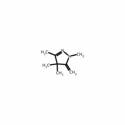 C=C1N(C)N=C(C)C1(C)C